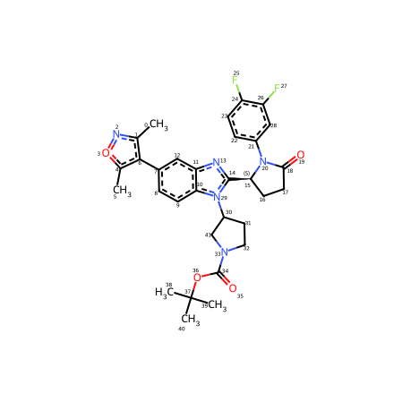 Cc1noc(C)c1-c1ccc2c(c1)nc([C@@H]1CCC(=O)N1c1ccc(F)c(F)c1)n2C1CCN(C(=O)OC(C)(C)C)C1